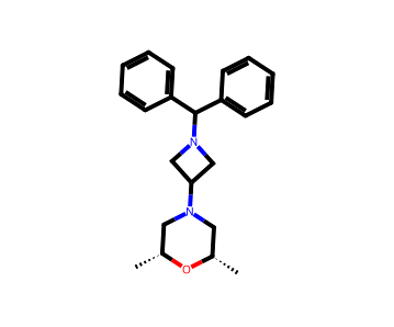 C[C@@H]1CN(C2CN(C(c3ccccc3)c3ccccc3)C2)C[C@H](C)O1